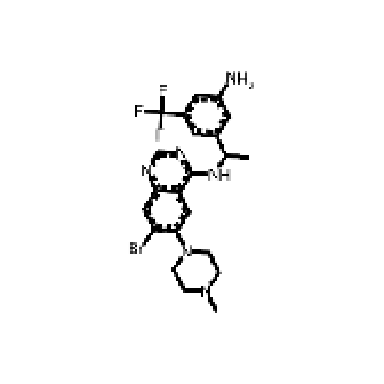 CC(Nc1ncnc2cc(Br)c(N3CCN(C)CC3)cc12)c1cc(N)cc(C(F)(F)F)c1